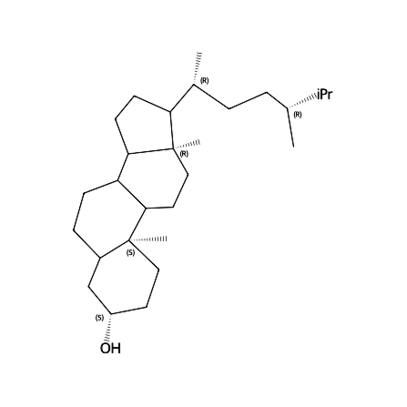 CC(C)[C@H](C)CC[C@@H](C)C1CCC2C3CCC4C[C@@H](O)CC[C@]4(C)C3CC[C@@]21C